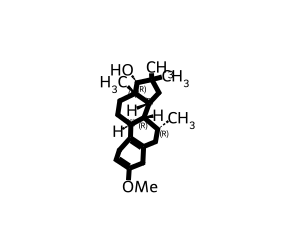 COC1=CCC2=C(C1)C[C@@H](C)[C@@H]1[C@@H]2CC[C@@]2(C)[C@@H]1CC(C)(C)[C@H]2O